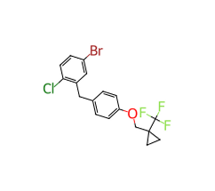 FC(F)(F)C1(COc2ccc(Cc3cc(Br)ccc3Cl)cc2)CC1